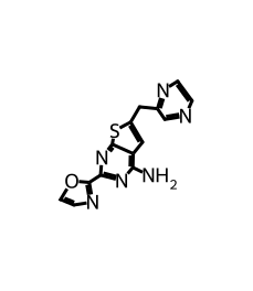 Nc1nc(-c2ncco2)nc2sc(Cc3cnccn3)cc12